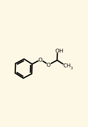 CC(O)OOc1ccccc1